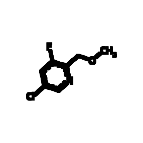 COCc1ncc(Cl)cc1F